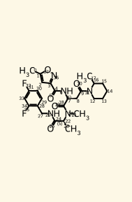 Cc1cc(C(=O)N[C@@H](CC(=O)N2CCCCC2C)C(=O)N(C)[C@@H](C)C(=O)NCc2ccc(F)cc2F)no1